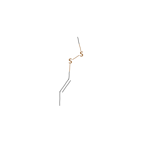 CC=CSSC